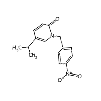 CC(C)c1ccc(=O)n(Cc2ccc([N+](=O)[O-])cc2)c1